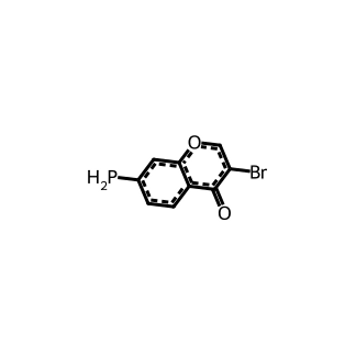 O=c1c(Br)coc2cc(P)ccc12